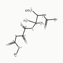 CCOC(=O)C(NC(=O)C(C)CC)C(C)(C)SC(=O)C(=O)CC(=O)OC(C)C